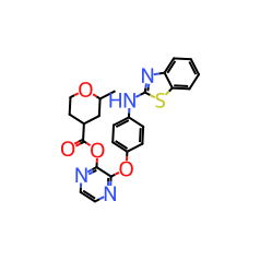 CC1CC(C(=O)Oc2nccnc2Oc2ccc(Nc3nc4ccccc4s3)cc2)CCO1